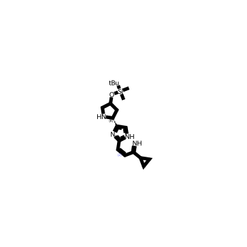 CC(C)(C)[Si](C)(C)OC1CN[C@@H](c2c[nH]c(/C=C\C(=N)C3CC3)n2)C1